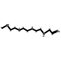 COCCOCCOCCOCC=O